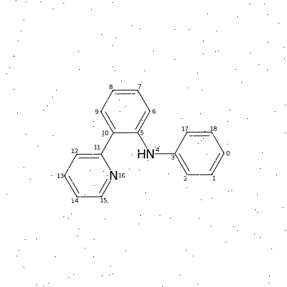 c1ccc(Nc2ccccc2-c2ccccn2)cc1